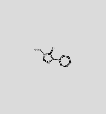 CCCCCCn1cnn(-c2cc[c]cc2)c1=O